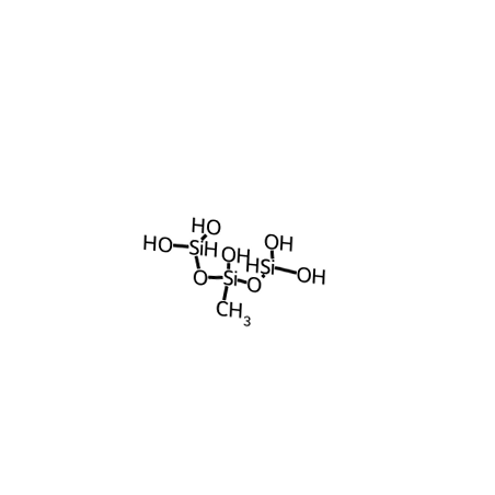 C[Si](O)(O[SiH](O)O)O[SiH](O)O